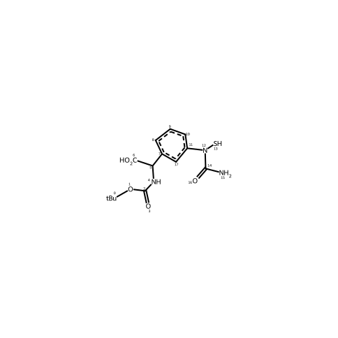 CC(C)(C)OC(=O)NC(C(=O)O)c1cccc(N(S)C(N)=O)c1